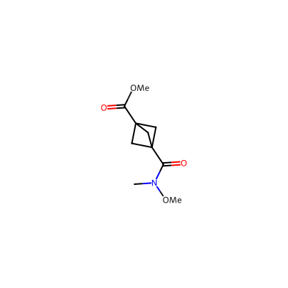 COC(=O)C12CC(C(=O)N(C)OC)(C1)C2